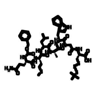 CSCC[C@H](NC(=O)[C@H](CCC(N)=O)NC(=O)OCc1ccccc1)C(=O)N[C@@H](CC(C)C)C(=O)N[C@@H](C)C(=O)N[C@@H](Cc1c[nH]c2ccccc12)C(=O)NCC(=O)N[C@@H](CSSSC(C)(C)C)C(=O)O